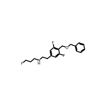 FCCCNCCc1cc(F)c(COCc2ccccc2)c(F)c1